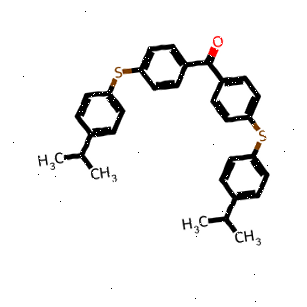 CC(C)c1ccc(Sc2ccc(C(=O)c3ccc(Sc4ccc(C(C)C)cc4)cc3)cc2)cc1